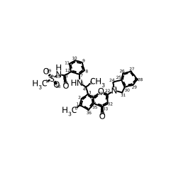 Cc1cc(C(C)Nc2ccccc2C(=O)NS(C)(=O)=O)c2oc(N3Cc4ccccc4C3)cc(=O)c2c1